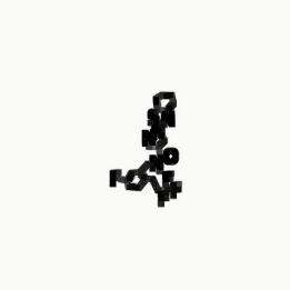 CN(Cc1cc(F)ccc1CCC(F)(F)F)C(=O)c1cnn(-c2nc3ccccc3s2)c1